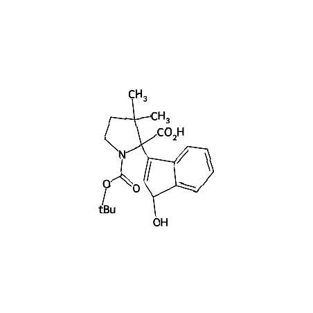 CC(C)(C)OC(=O)N1CCC(C)(C)C1(C(=O)O)C1=CC(O)c2ccccc21